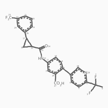 CC(F)(F)c1ccc(-c2ccc(NC(=O)C3CC3c3cccc(C(F)(F)F)c3)cc2C(=O)O)cn1